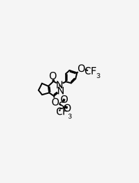 O=c1c2c(c(OS(=O)(=O)C(F)(F)F)nn1-c1ccc(OC(F)(F)F)cc1)CCC2